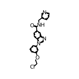 O=C(NCc1cccnc1)c1ccc2c(c1)ncn2-c1cccc(OCCCl)c1